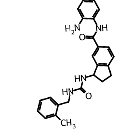 Cc1ccccc1CNC(=O)NC1CCc2ccc(C(=O)Nc3ccccc3N)cc21